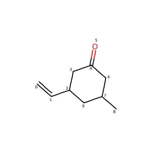 C=CC1CC(=O)CC(C)C1